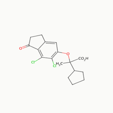 CC(Oc1cc2c(c(Cl)c1Cl)C(=O)CC2)(C(=O)O)C1CCCC1